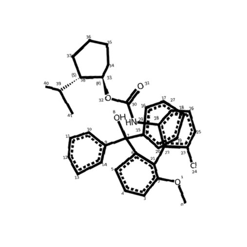 COc1cccc(C(O)(c2ccccc2)c2ccccc2)c1-c1c(Cl)cccc1NC(=O)O[C@@H]1CCCC[C@H]1C(C)C